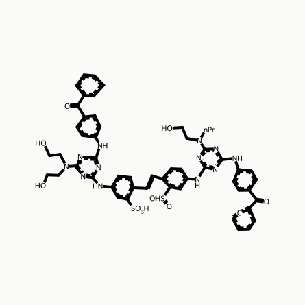 CCCN(CCO)c1nc(Nc2ccc(C(=O)c3ccccc3)cc2)nc(Nc2ccc(/C=C/c3ccc(Nc4nc(Nc5ccc(C(=O)c6ccccc6)cc5)nc(N(CCO)CCO)n4)cc3S(=O)(=O)O)c([SH](=O)=O)c2)n1